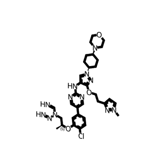 C[C@@H](CN(C=N)N=N)Oc1cc(-c2cnc(Nc3cn([C@H]4CC[C@H](N5CCOCC5)CC4)nc3OCCc3ccn(C)n3)nc2)ccc1Cl